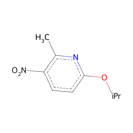 Cc1nc(OC(C)C)ccc1[N+](=O)[O-]